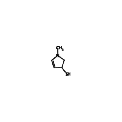 CN1C=CC(S)C1